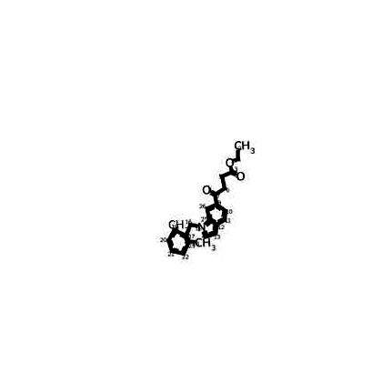 CCOC(=O)CCC(=O)c1ccc2ccn(Cc3c(C)cccc3C)c2c1